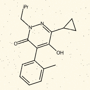 Cc1ccccc1-c1c(O)c(C2CC2)nn(CC(C)C)c1=O